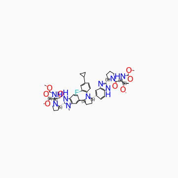 COC(=O)N[C@H](C(=O)N1CCC[C@H]1c1nc2cc([C@@H]3CC[C@@H](c4ccc5c(c4)N(C)C([C@@H]4CCCN4[C@](C=O)(NC(=O)OC)[C@@H](C)OC)N5)N3c3ccc(C4CC4)cc3F)ccc2[nH]1)[C@@H](C)OC